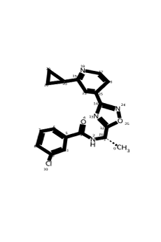 C[C@H](NC(=O)c1cccc(Cl)c1)c1nc(-c2ccnc(C3CC3)c2)no1